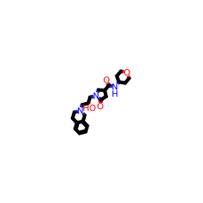 O=C(NC1CCOCC1)C1CC(=O)N(CC(O)CN2CCc3ccccc3C2)C1